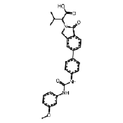 COc1cccc(NC(=O)Nc2ccc(-c3ccc4c(c3)CN(C(C(=O)O)C(C)C)C4=O)cc2)c1